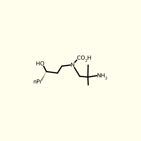 CCC[C@H](O)CCN(CC(C)(C)N)C(=O)O